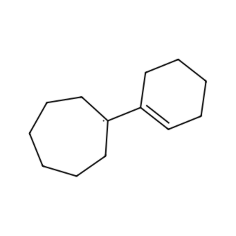 C1=C([C]2CCCCCC2)CCCC1